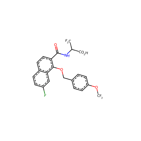 O=C(NC(C(=O)O)C(F)(F)F)c1ccc2ccc(F)cc2c1OCc1ccc(OC(F)(F)F)cc1